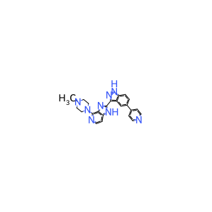 CN1CCN(c2nccc3[nH]c(-c4n[nH]c5ccc(-c6ccncc6)cc45)nc23)CC1